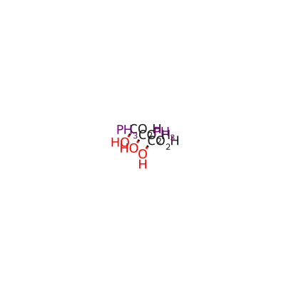 O=C(O)O.O=C(O)O.O=C(O)O.P.P